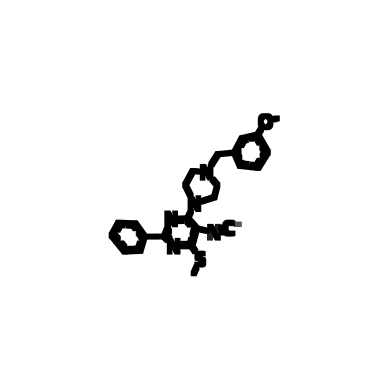 [C-]#[N+]c1c(SC)nc(-c2ccccc2)nc1N1CCN(Cc2cccc(OC)c2)CC1